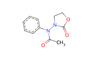 CC(=O)N(c1ccccc1)N1CCOC1=O